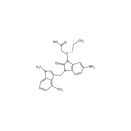 CCC[C@@H](CC(=O)O)n1c(=O)n(Cc2cn(C)c3cccc(C)c23)c2ccc(N)cc21